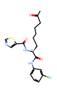 CC(=O)CCCCC[C@H](NC(=O)c1cncs1)C(=O)Nc1cccc(Cl)c1